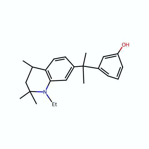 CCN1c2cc(C(C)(C)c3cccc(O)c3)ccc2C(C)CC1(C)C